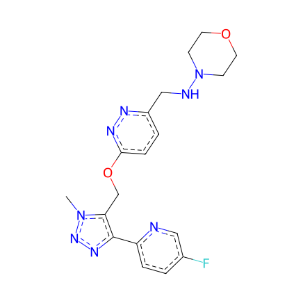 Cn1nnc(-c2ccc(F)cn2)c1COc1ccc(CNN2CCOCC2)nn1